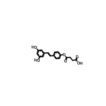 O=C(O)CCC(=O)Oc1ccc(C=Cc2cc(O)cc(O)c2)cc1